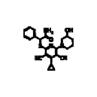 N#Cc1c(SC(C(N)=O)c2ccccc2)nc(N2CCC[C@H](O)C2)c(C#N)c1C1CC1